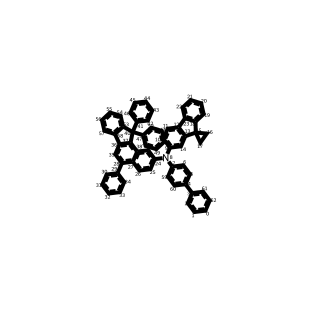 c1ccc(-c2ccc(N(c3ccc4c(c3)C3(CC3)c3ccccc3-4)c3ccc4c(-c5ccccc5)cc5c(c4c3)C(c3ccccc3)(c3ccccc3)c3ccccc3-5)cc2)cc1